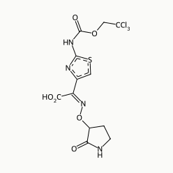 O=C(Nc1nc(C(=NOC2CCNC2=O)C(=O)O)cs1)OCC(Cl)(Cl)Cl